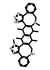 CC1C2=C(c3c(nnn3C)-c3ccccc3NC2)C(C)C2=C1C(C)C1=C(c3[nH]nnc3-c3ccccc3CN1C)C2C